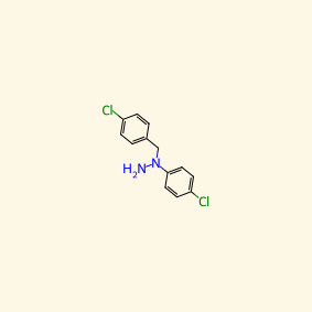 NN(Cc1ccc(Cl)cc1)c1ccc(Cl)cc1